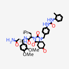 COc1ccc([C@H](CC(N)=O)NC(=O)[C@@H](CC(C)C)N2C(=O)N(Cc3ccc(NC(=O)Nc4ccccc4C)cc3)C3(CCC(=O)CC3)C2=O)cc1OC